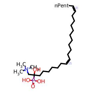 CCCCC/C=C\CCCCCCCCC/C=C\CCCCCCC(O)(C[N+](C)(C)C)P(=O)(O)O